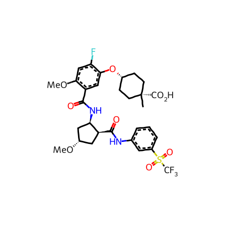 COc1cc(F)c(O[C@H]2CC[C@@](C)(C(=O)O)CC2)cc1C(=O)N[C@@H]1C[C@@H](OC)C[C@@H]1C(=O)Nc1cccc(S(=O)(=O)C(F)(F)F)c1